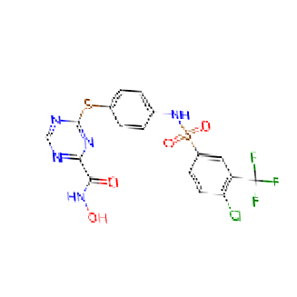 O=C(NO)c1ncnc(Sc2ccc(NS(=O)(=O)c3ccc(Cl)c(C(F)(F)F)c3)cc2)n1